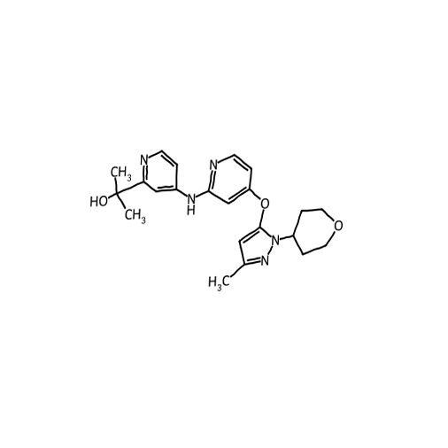 Cc1cc(Oc2ccnc(Nc3ccnc(C(C)(C)O)c3)c2)n(C2CCOCC2)n1